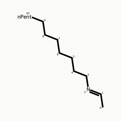 CC=NCCCCCCCCCCCC